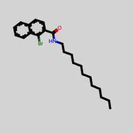 CCCCCCCCCCCCNC(=O)c1ccc2ccccc2c1Br